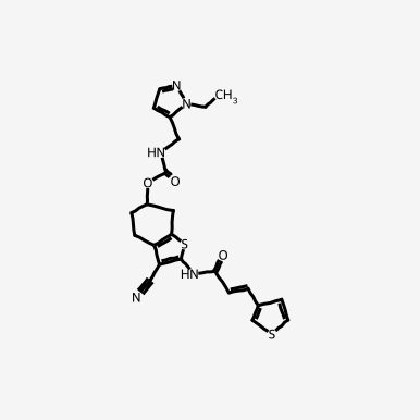 CCn1nccc1CNC(=O)OC1CCc2c(sc(NC(=O)C=Cc3ccsc3)c2C#N)C1